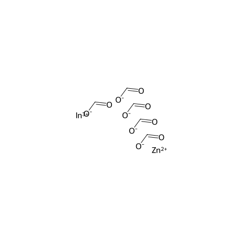 O=C[O-].O=C[O-].O=C[O-].O=C[O-].O=C[O-].[In+3].[Zn+2]